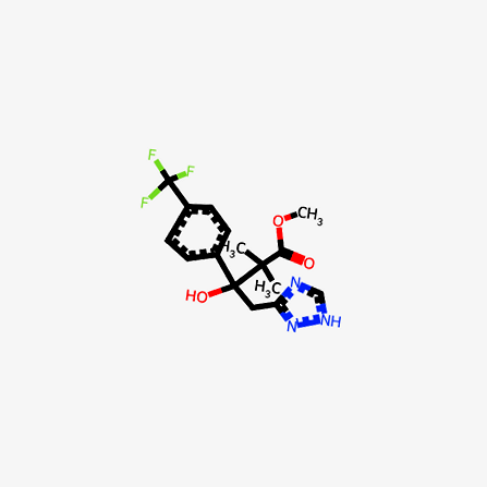 COC(=O)C(C)(C)C(O)(Cc1nc[nH]n1)c1ccc(C(F)(F)F)cc1